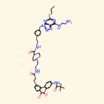 CCCSc1nc(NCCN)c2nnn(Cc3ccc(CCCNC(=O)C4CCN(CCNC(=O)CCc5ccc6c(c5)-c5ccc(NC(=O)C(C)(C)C)cc5C(=O)C6=O)CC4)cc3)c2n1